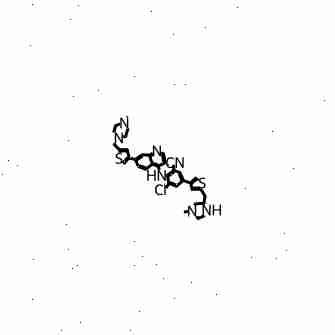 Cc1cc(-c2csc(CC3CN(C)CCN3)c2)cc(Cl)c1Nc1c(C#N)cnc2cc(-c3csc(CN4CCN(C)CC4)c3)ccc12